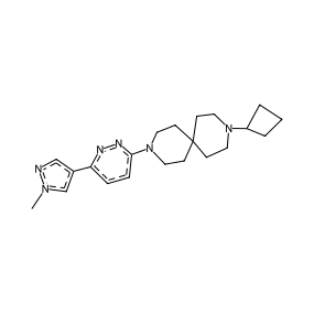 Cn1cc(-c2ccc(N3CCC4(CC3)CCN(C3CCC3)CC4)nn2)cn1